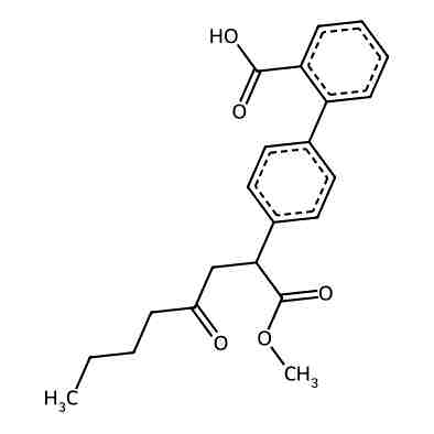 CCCCC(=O)CC(C(=O)OC)c1ccc(-c2ccccc2C(=O)O)cc1